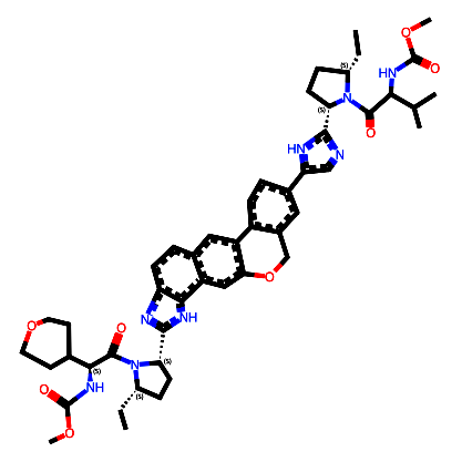 CC[C@H]1CC[C@@H](c2ncc(-c3ccc4c(c3)COc3cc5c(ccc6nc([C@@H]7CC[C@H](CC)N7C(=O)[C@@H](NC(=O)OC)C7CCOCC7)[nH]c65)cc3-4)[nH]2)N1C(=O)C(NC(=O)OC)C(C)C